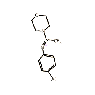 CC(=O)c1ccc(/N=S(/N2CCOCC2)C(F)(F)F)cc1